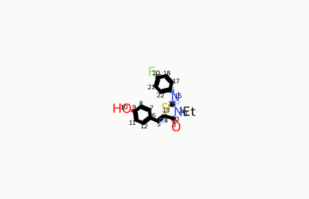 CCN1C(=O)/C(=C/c2ccc(O)cc2)S/C1=N\c1ccc(F)cc1